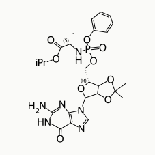 CC(C)OC(=O)[C@H](C)NP(=O)(OC[C@H]1OC(n2cnc3c(=O)[nH]c(N)nc32)C2OC(C)(C)OC21)Oc1ccccc1